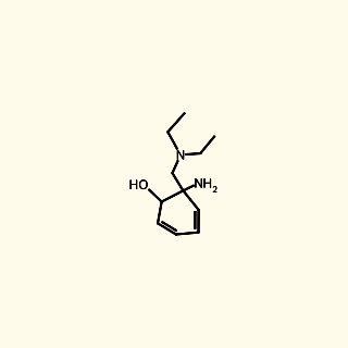 CCN(CC)CC1(N)C=CC=CC1O